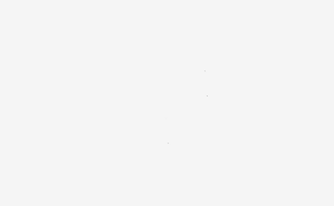 CC(C)(C)CC(C)(C)c1ccccc1Oc1ccccc1C(C)(C)CC(C)(C)C